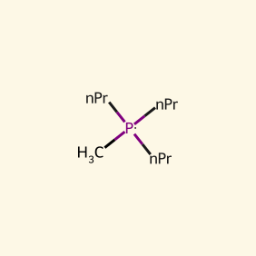 CCC[P](C)(CCC)CCC